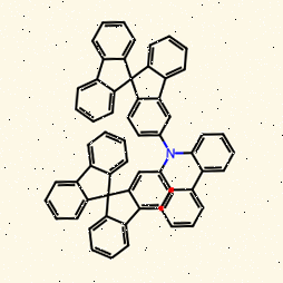 c1ccc(-c2ccccc2N(c2ccc3c(c2)-c2ccccc2C32c3ccccc3-c3ccccc32)c2ccc3c(c2)C2(c4ccccc4-c4ccccc42)c2ccccc2-3)cc1